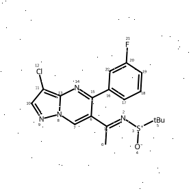 C/C(=N\[S+]([O-])C(C)(C)C)c1cn2ncc(Cl)c2nc1-c1cccc(F)c1